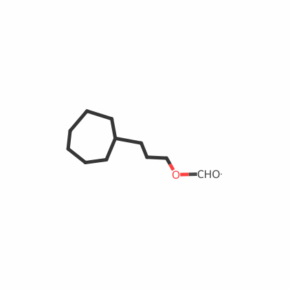 O=[C]OCCCC1CCCCCC1